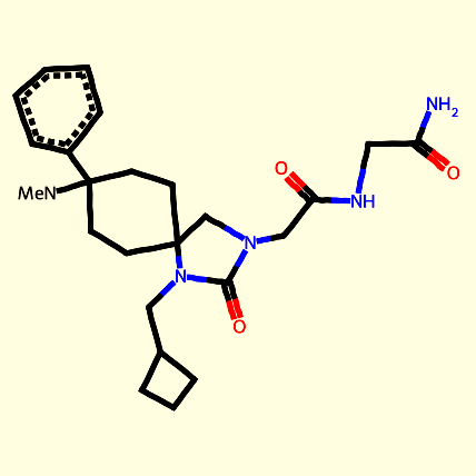 CNC1(c2ccccc2)CCC2(CC1)CN(CC(=O)NCC(N)=O)C(=O)N2CC1CCC1